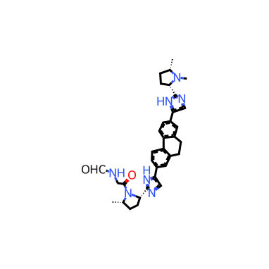 C[C@H]1CC[C@@H](c2ncc(-c3ccc4c(c3)CCc3cc(-c5cnc([C@@H]6CC[C@H](C)N6C(=O)CNC=O)[nH]5)ccc3-4)[nH]2)N1C